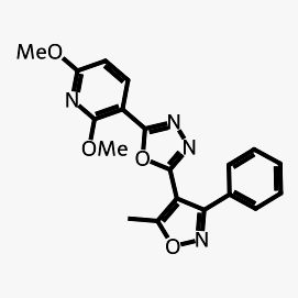 COc1ccc(-c2nnc(-c3c(-c4ccccc4)noc3C)o2)c(OC)n1